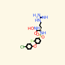 N=C(N)NCCC[C@@H](NS(=O)(=O)c1ccc(Oc2ccc(Cl)cc2)c(F)c1)C(=O)NO